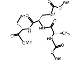 COC(=O)[C@H](CC(C)C)NC(=O)[C@H](CNC(=O)OC(C)(C)C)NC(=O)[C@H](C)NC(=O)OC(C)(C)C